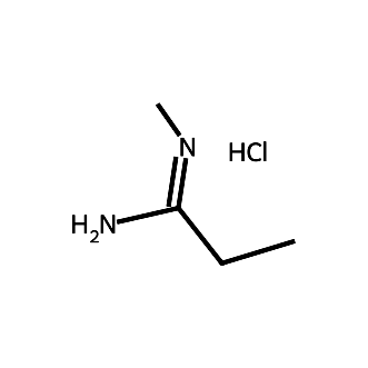 CCC(N)=NC.Cl